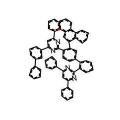 c1ccc(-c2cccc(-c3cc(-c4ccccc4)nc(-c4ccc(-c5ccccc5-c5nc(-c6ccccc6)cc(-c6ccccc6)n5)cc4-c4cc5ccccc5c5ccccc45)n3)c2)cc1